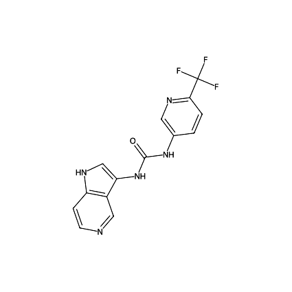 O=C(Nc1ccc(C(F)(F)F)nc1)Nc1c[nH]c2ccncc12